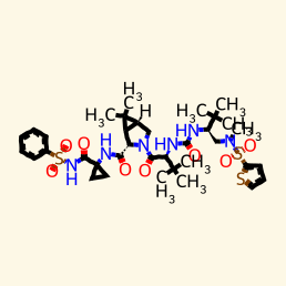 CN(C[C@@H](NC(=O)N[C@H](C(=O)N1C[C@H]2C([C@H]1C(=O)NC1(C(=O)NS(=O)(=O)c3ccccc3)CC1)C2(C)C)C(C)(C)C)C(C)(C)C)S(=O)(=O)c1cccs1